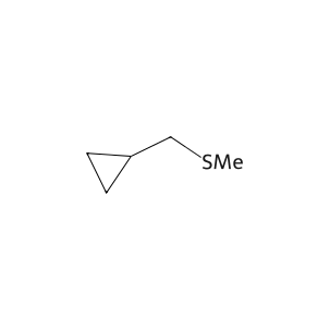 CSCC1CC1